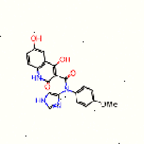 COc1ccc(N(C(=O)c2c(O)c3cc(O)ccc3[nH]c2=O)c2c[nH]cn2)cc1